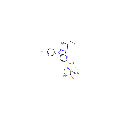 CC(C)Cc1nn(-c2ccc(Cl)cc2)c2ccc(C(=O)N3CCNC(=O)C3(C)C)nc12